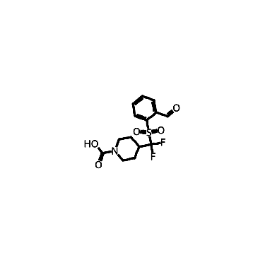 O=Cc1ccccc1S(=O)(=O)C(F)(F)C1CCN(C(=O)O)CC1